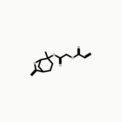 C=CC(=O)OCC(=O)OC1(C)CCC2CC1OC2=C